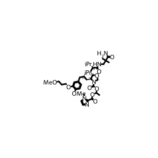 COCCCOc1cc(C[C@@H](C[C@H]2[C@H](C[C@H](C(=O)NCC(C)(C)C(N)=O)C(C)C)OCN2C(=O)OC(C)OC(=O)c2nccn2C)C(C)C)ccc1OC